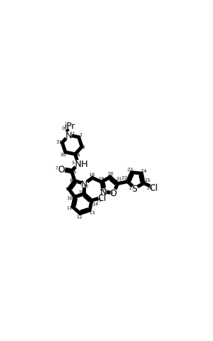 CC(C)N1CCC(NC(=O)c2cc3cccc(Cl)c3n2Cc2cc(-c3ccc(Cl)s3)on2)CC1